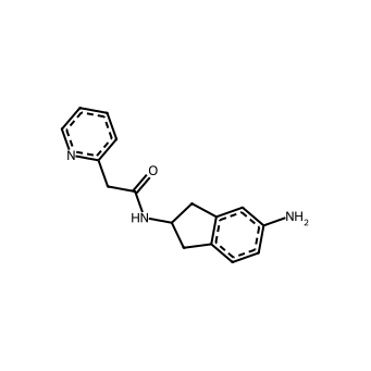 Nc1ccc2c(c1)CC(NC(=O)Cc1ccccn1)C2